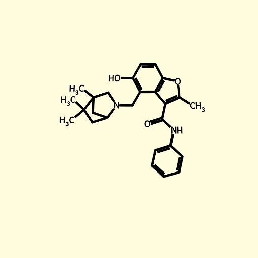 Cc1oc2ccc(O)c(CN3CC4(C)CC3CC4(C)C)c2c1C(=O)Nc1ccccc1